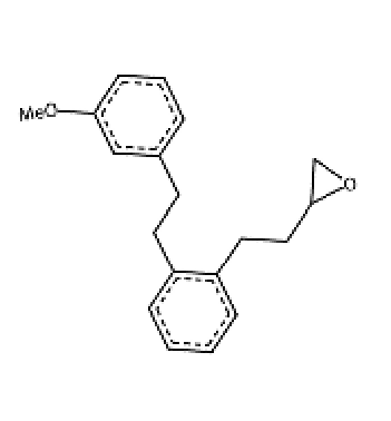 COc1cccc(CCc2ccccc2CCC2CO2)c1